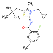 Cc1c(CC(C)(C)C(C)(C)C)s/c(=N\C(=O)c2cc(C(F)(F)F)ccc2F)n1CC1CC1